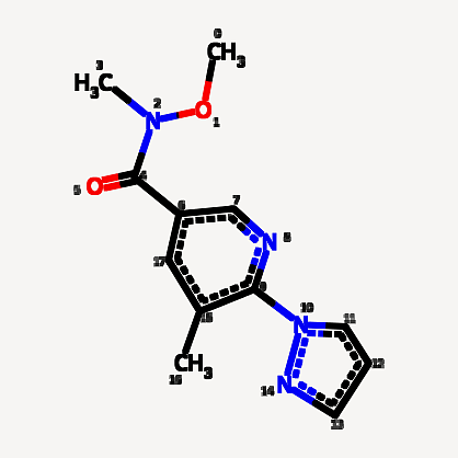 CON(C)C(=O)c1cnc(-n2cccn2)c(C)c1